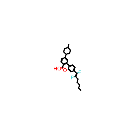 CCCCCC(F)=C(F)c1ccc(-c2cc(C3CCC(C)CC3)ccc2C(=O)O)cc1